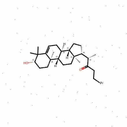 CC(C)CCC(=O)[C@@H](C)[C@H]1CC[C@H]2[C@@H]3CC=C4C(C)(C)[C@@H](O)CC[C@]4(C)[C@H]3CC[C@]12C